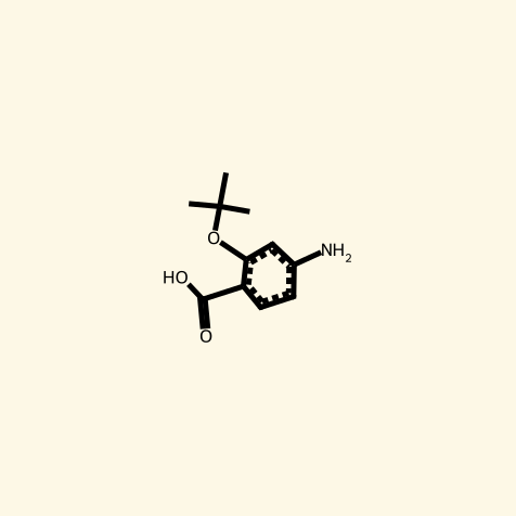 CC(C)(C)Oc1cc(N)ccc1C(=O)O